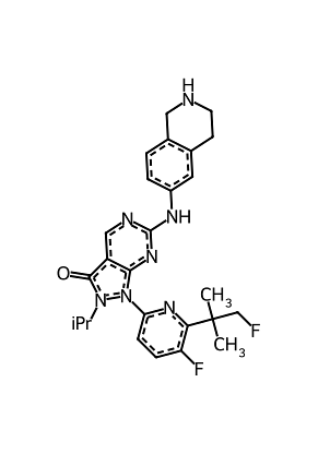 CC(C)n1c(=O)c2cnc(Nc3ccc4c(c3)CCNC4)nc2n1-c1ccc(F)c(C(C)(C)CF)n1